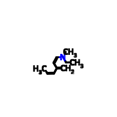 C=C(/C=C\C)/C=C\N(C)CC